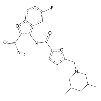 CC1CC(C)CN(Cc2ccc(C(=O)Nc3c(C(N)=O)oc4ccc(F)cc34)o2)C1